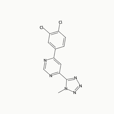 Cn1nnnc1-c1cc(-c2ccc(Cl)c(Cl)c2)ncn1